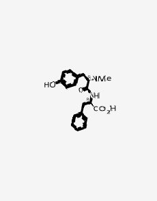 CN[C@@H](Cc1ccc(O)cc1)C(=O)N[C@H](Cc1ccccc1)C(=O)O